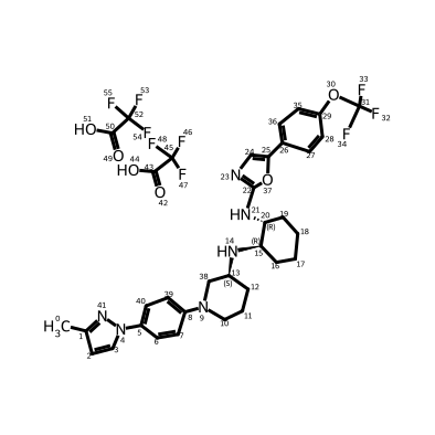 Cc1ccn(-c2ccc(N3CCC[C@H](N[C@@H]4CCCC[C@H]4Nc4ncc(-c5ccc(OC(F)(F)F)cc5)o4)C3)cc2)n1.O=C(O)C(F)(F)F.O=C(O)C(F)(F)F